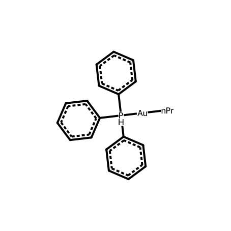 CC[CH2][Au][PH](c1ccccc1)(c1ccccc1)c1ccccc1